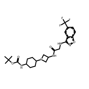 CC(C)(C)OC(=O)NC1CCC(N2CC(NC(=O)CNc3noc4ccc(C(F)(F)F)cc34)C2)CC1